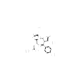 CC1=C(C)C2C(c3ccc(Cl)cc3)=N[C@@H](CC(=O)O)c3nnc(C)n3C2S1